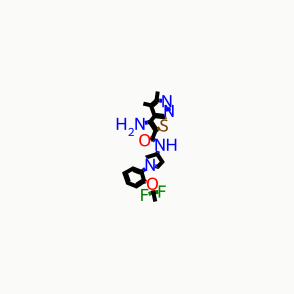 Cc1nnc2sc(C(=O)NC3CCN(c4ccccc4OC(C)(F)F)C3)c(N)c2c1C